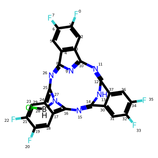 Fc1cc2c(cc1F)-c1nc-2nc2[nH]c(nc3c4cc(F)c(F)cc4c(n1)n3BCl)c1cc(F)c(F)cc21